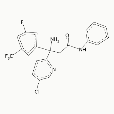 NC(CC(=O)Nc1ccccc1)(c1cc(F)cc(C(F)(F)F)c1)c1ccc(Cl)cn1